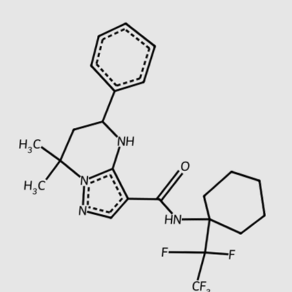 CC1(C)CC(c2ccccc2)Nc2c(C(=O)NC3(C(F)(F)C(F)(F)F)CCCCC3)cnn21